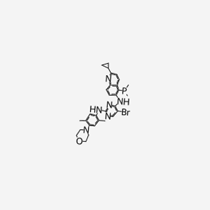 Cc1cc(N2CCOCC2)c(C)cc1Nc1ncc(Br)c(Nc2ccc3nc(C4CC4)ccc3c2P(C)C)n1